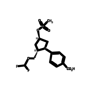 CS(=O)(=O)O[C@@H]1C[C@@H](COC(F)F)N(c2ccc(C(=O)O)cc2)C1